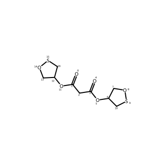 O=C(CC(=O)OC1COSC1)OC1COSC1